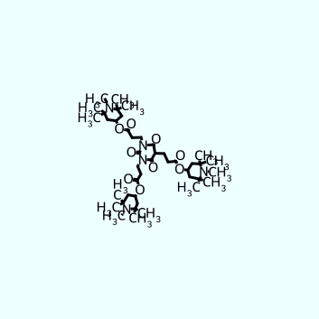 CN1C(C)(C)CC(OC(=O)CCC2C(=O)N(CCC(=O)OC3CC(C)(C)N(C)C(C)(C)C3)C(=O)N(CCC(=O)OC3CC(C)(C)N(C)C(C)(C)C3)C2=O)CC1(C)C